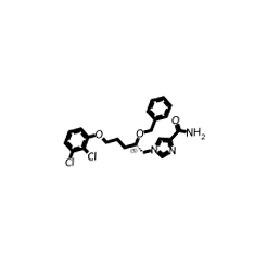 NC(=O)c1cn(C[C@H](CCCOc2cccc(Cl)c2Cl)OCc2ccccc2)cn1